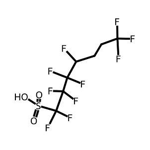 O=S(=O)(O)C(F)(F)C(F)(F)C(F)(F)C(F)CCC(F)(F)F